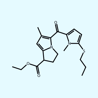 CCCSc1ccc(C(=O)c2c(C)cc3n2CCC3C(=O)OCC)n1C